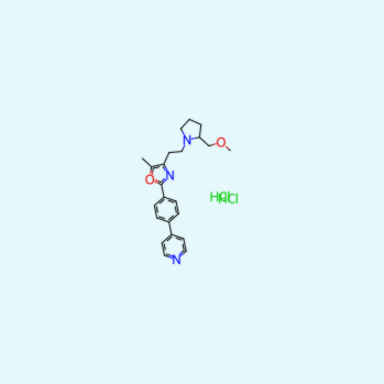 COCC1CCCN1CCc1nc(-c2ccc(-c3ccncc3)cc2)oc1C.Cl.Cl